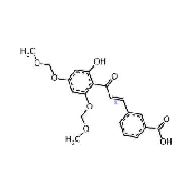 COCOc1cc(O)c(C(=O)/C=C/c2cccc(C(=O)O)c2)c(OCOC)c1